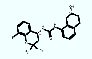 CC1(C)C[C@@H](NC(=O)Nc2cccc3c2C[C@H](O)CC3)c2cccc(F)c2O1